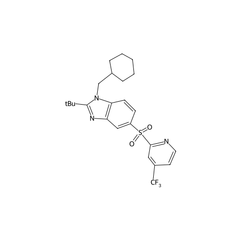 CC(C)(C)c1nc2cc(S(=O)(=O)c3cc(C(F)(F)F)ccn3)ccc2n1CC1CCCCC1